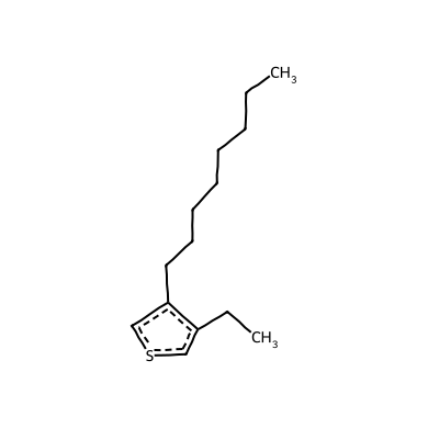 CCCCCCCCc1cscc1CC